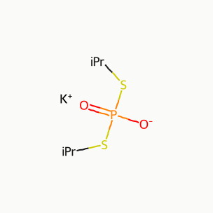 CC(C)SP(=O)([O-])SC(C)C.[K+]